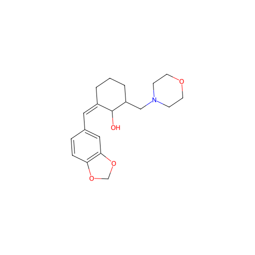 OC1C(=Cc2ccc3c(c2)OCO3)CCCC1CN1CCOCC1